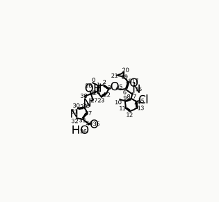 Cc1cc(OCc2c(-c3c(C)cccc3Cl)noc2C2CC2)ccc1C1(O)CN(c2cncc(C(=O)O)c2)C1